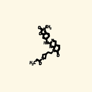 C=CC(=O)N1CC(CCn2c(=O)ccc3cnc(Nc4ccc5c(c4)oc(=O)n5C)nc32)C1